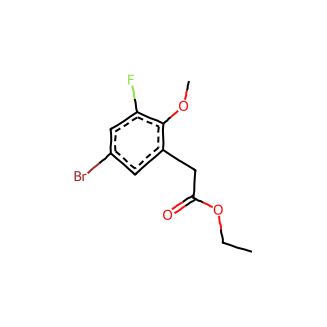 CCOC(=O)Cc1cc(Br)cc(F)c1OC